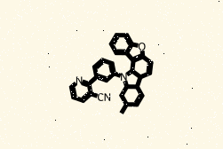 CC1C=CC2C3C=Cc4oc5ccccc5c4C3N(c3cccc(-c4ncccc4C#N)c3)C2C1